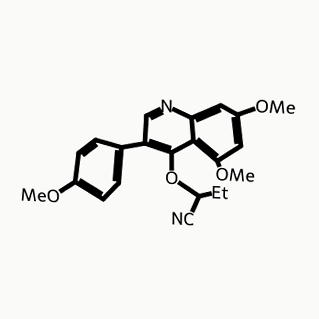 CCC(C#N)Oc1c(-c2ccc(OC)cc2)cnc2cc(OC)cc(OC)c12